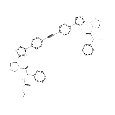 CCOC(=O)N[C@@H](C(=O)N1CCC[C@H]1c1ncc(-c2ccc(C#Cc3ccc(-c4cnc([C@@H]5CCCN5C(=O)[C@H](N)c5ccccc5)[nH]4)cc3)cc2)[nH]1)c1ccccc1